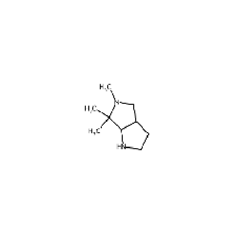 CN1CC2CCNC2C1(C)C